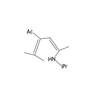 CC(=O)C(/C=C(/C)NC(C)C)=C(C)C